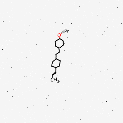 CC=CC1CCC(CCC2CCC(OCCC)CC2)CC1